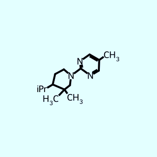 Cc1cnc(N2CCC(C(C)C)C(C)(C)C2)nc1